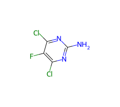 Nc1nc(Cl)c(F)c(Cl)n1